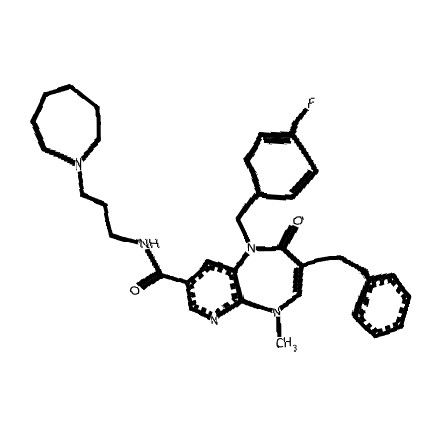 CN1C=C(Cc2ccccc2)C(=O)N(CC2C=CC(F)=CC2)c2cc(C(=O)NCCCN3CCCCCC3)cnc21